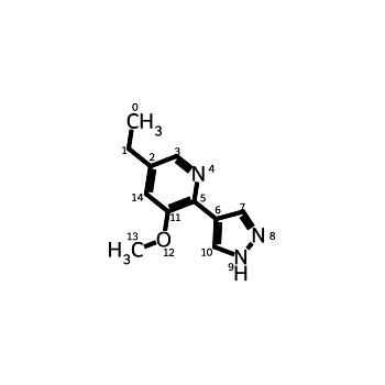 CCc1cnc(-c2cn[nH]c2)c(OC)c1